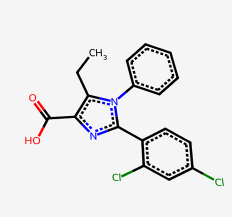 CCc1c(C(=O)O)nc(-c2ccc(Cl)cc2Cl)n1-c1ccccc1